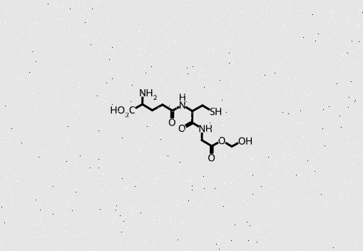 NC(CCC(=O)NC(CS)C(=O)NCC(=O)OCO)C(=O)O